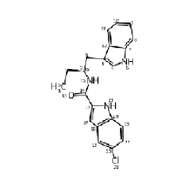 CC[C@@H](Cc1c[nH]c2ccccc12)NC(=O)c1cc2cc(Cl)ccc2[nH]1